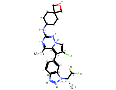 COc1nc(NC2CCC3(CC2)COC3)nn2cc(F)c(-c3ccc4nnn([C@@H](C)C(F)F)c4c3)c12